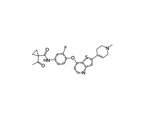 CC(=O)C1(C(=O)Nc2ccc(Oc3ccnc4cc(C5=CCN(C)CC5)sc34)c(F)c2)CC1